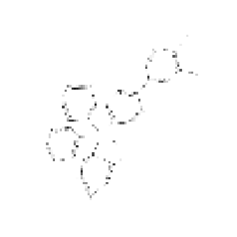 Cc1ccc(-c2ccc([SH](C)(c3ccccc3)(c3ccccc3)c3ccccc3)cc2)cc1C